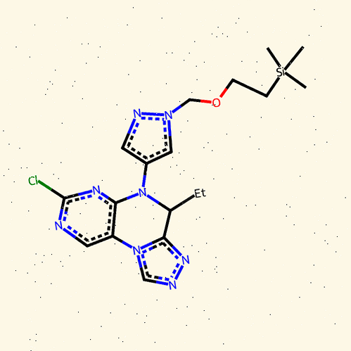 CCC1c2nncn2-c2cnc(Cl)nc2N1c1cnn(COCC[Si](C)(C)C)c1